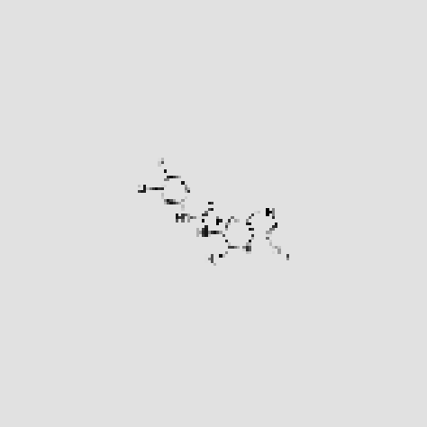 Cc1cncc(C)c1NC(C)CNC(=O)Nc1ccc(F)c(Cl)c1